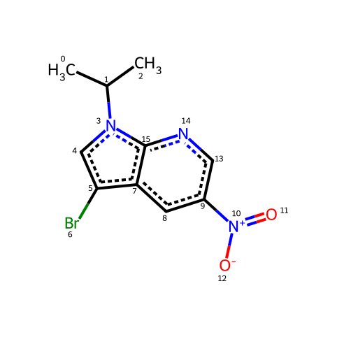 CC(C)n1cc(Br)c2cc([N+](=O)[O-])cnc21